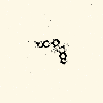 C=C1C(N2CCC3(CC2)CNC(=O)O3)=NC=CN1/N=C(\C)NC1=CC2=NC=CC2C=C1OC